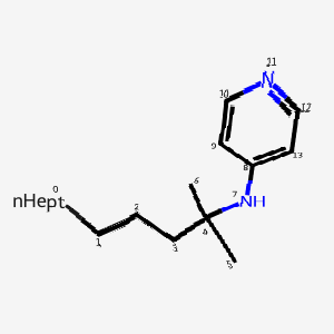 CCCCCCCCCCC(C)(C)Nc1ccncc1